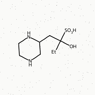 CCC(O)(CC1CNCCN1)S(=O)(=O)O